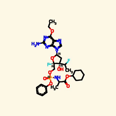 CCOc1nc(N)nc2c1ncn2[C@H]1C[C@@](O)(C(C)F)[C@@](F)(CO[P@@](=O)(NC(C)C(=O)OC2CCCCC2)Oc2ccccc2)O1